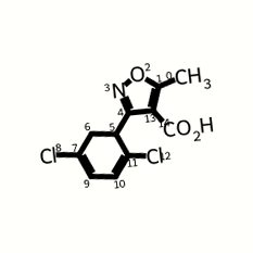 Cc1onc(C2CC(Cl)=CC=C2Cl)c1C(=O)O